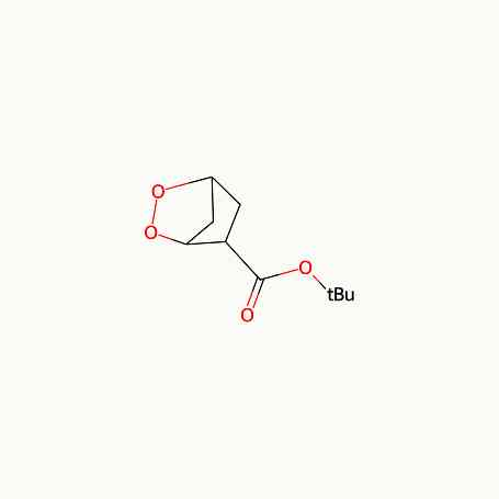 CC(C)(C)OC(=O)C1CC2CC1OO2